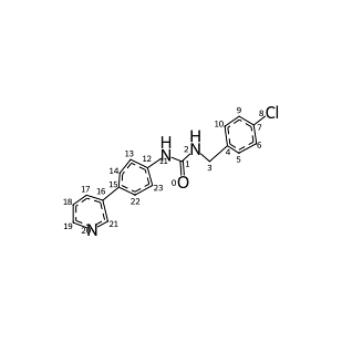 O=C(NCc1ccc(Cl)cc1)Nc1ccc(-c2cccnc2)cc1